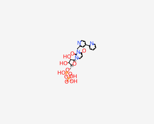 O=c1ccn([C@@H]2O[C@H](COP(=O)(O)OP(=O)(O)O)C(O)C2O)c(=O)n1Cc1cc(-c2ccccn2)ccn1